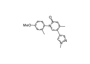 COc1ccc(-n2cc(-c3cnn(C)c3)c(C)cc2=O)c(C)c1